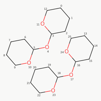 C1CCC(OC2CCCCO2)OC1.C1CCC(OC2CCCCO2)OC1